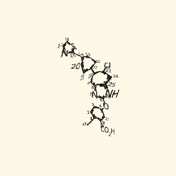 Cc1ccc(Oc2nc3cc(-c4ccc(-c5nccs5)cc4)c(Cl)cc3[nH]2)cc1C(=O)O